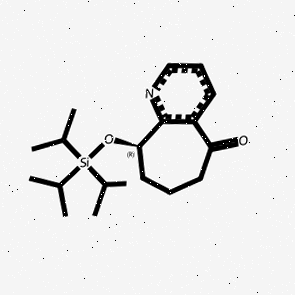 CC(C)[Si](O[C@@H]1CCCC(=O)c2cccnc21)(C(C)C)C(C)C